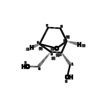 OC[C@@H]1[C@H](CO)[C@H]2CC[C@@H]1O2